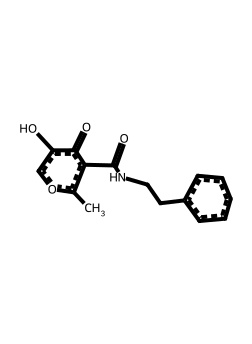 Cc1occ(O)c(=O)c1C(=O)NCCc1ccccc1